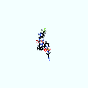 N#CC1CN(S(=O)(=O)N2CCC[C@H](C(=O)N3[C@@H](C(=O)NCc4ccc(C(F)(F)F)cn4)C[C@H]4C#C[C@H]43)C2)C1